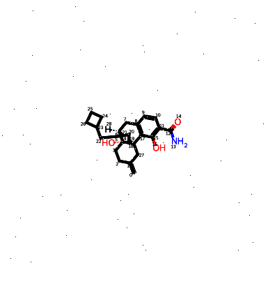 C=C1CC[C@@]2(O)[C@H]3Cc4ccc(C(N)=O)c(O)c4C2(CCC3CC2CCC2)C1